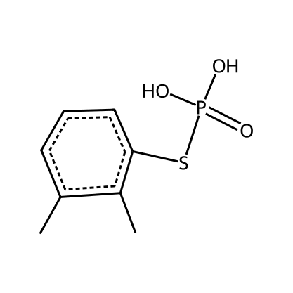 Cc1cccc(SP(=O)(O)O)c1C